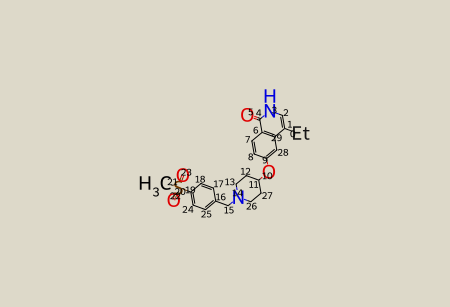 CCc1c[nH]c(=O)c2ccc(OC3CCN(Cc4ccc(S(C)(=O)=O)cc4)CC3)cc12